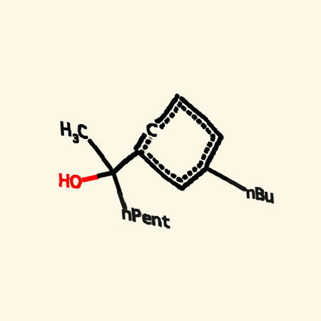 CCCCCC(C)(O)c1cccc(CCCC)c1